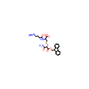 [N-]=[N+]=NCCCC(=O)NC(CSSC(C(N)=O)C(=O)OCC1c2ccccc2-c2ccccc21)C(=O)O